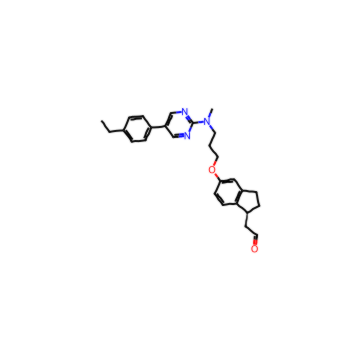 CCc1ccc(-c2cnc(N(C)CCCOc3ccc4c(c3)CC[C@H]4CC=O)nc2)cc1